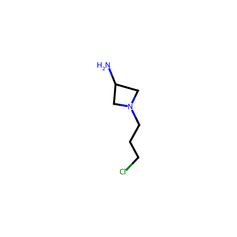 NC1CN(CCCCl)C1